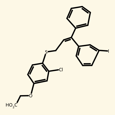 O=C(O)COc1ccc(SCC=C(c2ccccc2)c2cccc(I)c2)c(Cl)c1